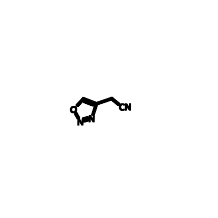 N#CCc1conn1